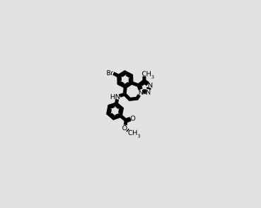 COC(=O)c1cccc(NC2CCn3nnc(C)c3-c3ccc(Br)cc32)c1